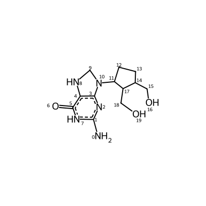 Nc1nc2c(c(=O)[nH]1)NCN2C1CCC(CO)C1CO